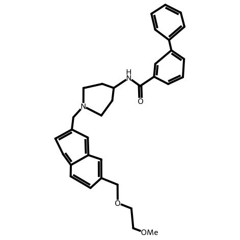 COCCOCc1ccc2ccc(CN3CCC(NC(=O)c4cccc(-c5ccccc5)c4)CC3)cc2c1